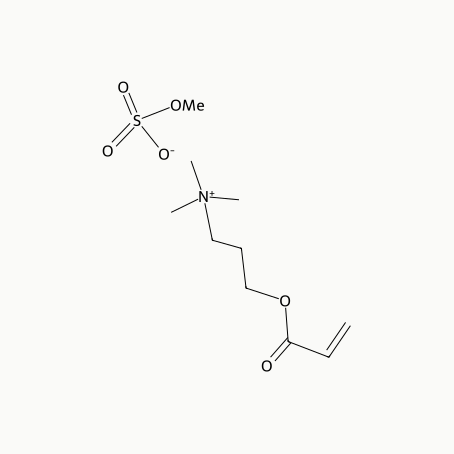 C=CC(=O)OCCC[N+](C)(C)C.COS(=O)(=O)[O-]